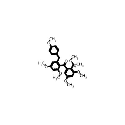 COc1ccc(Cc2cc(OC)cc(OC)c2C(=O)c2cc(OC)cc(OC)c2[C@@H](C)OC)cc1